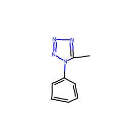 Cc1nnnn1-c1c[c]ccc1